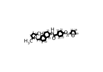 CC1CCC(C)N1Cc1ccc2c(c1)CC[C@H](NC(=O)c1ccc(OC[C@@H]3CCCO3)cc1)C2